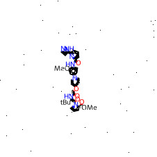 COC(=O)[C@@H]1CCCN1C(=O)[C@@H](NC(=O)COC1CCN(c2ccc(NC(=O)c3cccc(-c4ccn[nH]4)n3)c(OC)c2)CC1)C(C)(C)C